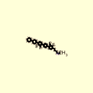 C/C=C\CCCc1ccc(-c2ccc(-c3ccc(C4=CCC(C5CCCCC5)CC4)c(F)c3F)cc2)c(F)c1F